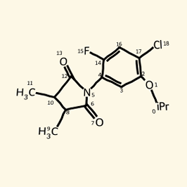 CC(C)Oc1cc(N2C(=O)C(C)C(C)C2=O)c(F)cc1Cl